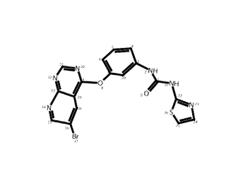 O=C(Nc1cccc(Oc2ncnc3ncc(Br)cc23)c1)Nc1nccs1